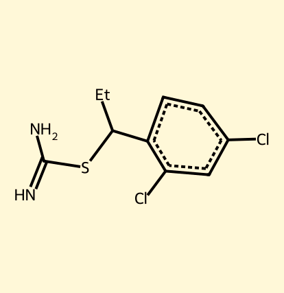 CCC(SC(=N)N)c1ccc(Cl)cc1Cl